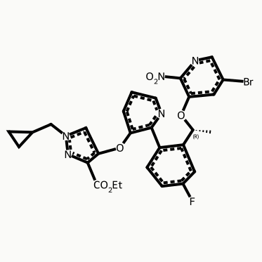 CCOC(=O)c1nn(CC2CC2)cc1Oc1cccnc1-c1ccc(F)cc1[C@@H](C)Oc1cc(Br)cnc1[N+](=O)[O-]